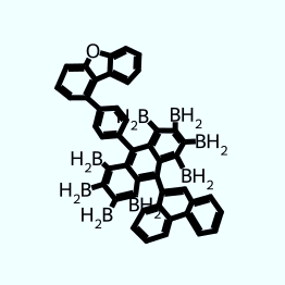 Bc1c(B)c(B)c2c(-c3cc4ccccc4c4ccccc34)c3c(B)c(B)c(B)c(B)c3c(-c3ccc(-c4cccc5oc6ccccc6c45)cc3)c2c1B